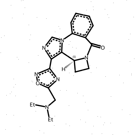 CCN(CC)Cc1nc(-c2ncn3c2[C@@H]2CCN2C(=O)c2ccccc2-3)no1